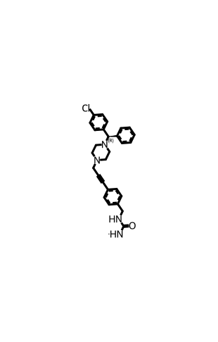 [NH]C(=O)NCc1ccc(C#CCN2CCN([C@H](c3ccccc3)c3ccc(Cl)cc3)CC2)cc1